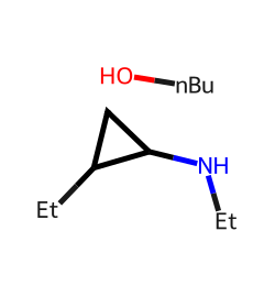 CCCCO.CCNC1CC1CC